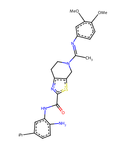 COc1ccc(N=C(C)N2CCc3nc(C(=O)Nc4cc(C(C)C)ccc4N)sc3C2)cc1OC